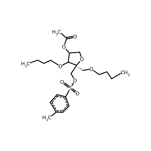 CCCCOC[C@@]1(COS(=O)(=O)c2ccc(C)cc2)OCC(OC(C)=O)C1OCCCC